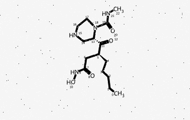 CCCCC[C@@H](CC(=O)NO)C(=O)[C@@H]1CNCCN1C(=O)NC